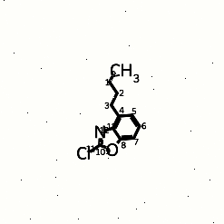 CCCCc1cccc2oc(Cl)nc12